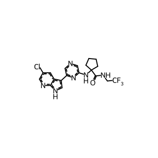 O=C(NCC(F)(F)F)C1(Nc2cncc(-c3c[nH]c4ncc(Cl)cc34)n2)CCCC1